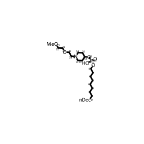 CCCCCCCCCCCCCCCCCCOP(=O)(O)OC1CCN(CCOCCOC)CC1